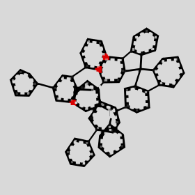 c1ccc(-c2cccc(N(c3ccc4c(c3)C3(c5ccccc5-c5ccc(N(c6ccccc6)c6ccccc6)cc53)c3ccccc3-4)c3ccc(-c4ccccc4)cc3-c3ccccc3)c2)cc1